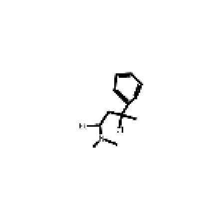 CCC(CC(C)(Cl)c1ccccc1)N(C)C